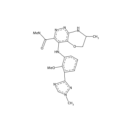 CNC(=O)c1nnc2c(c1Nc1cccc(-c3ncn(C)n3)c1OC)OCC(C)N2